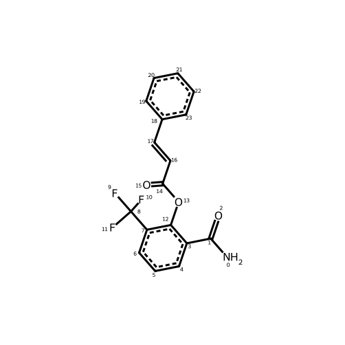 NC(=O)c1cccc(C(F)(F)F)c1OC(=O)C=Cc1ccccc1